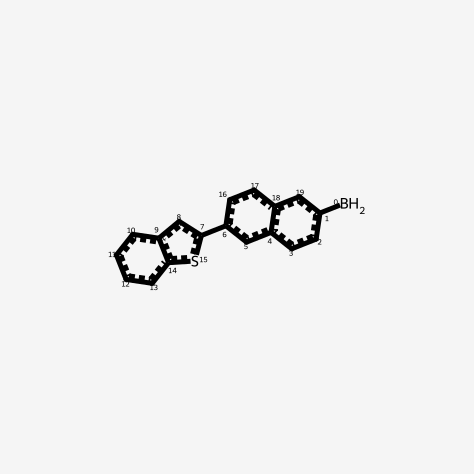 Bc1ccc2cc(-c3cc4ccccc4s3)ccc2c1